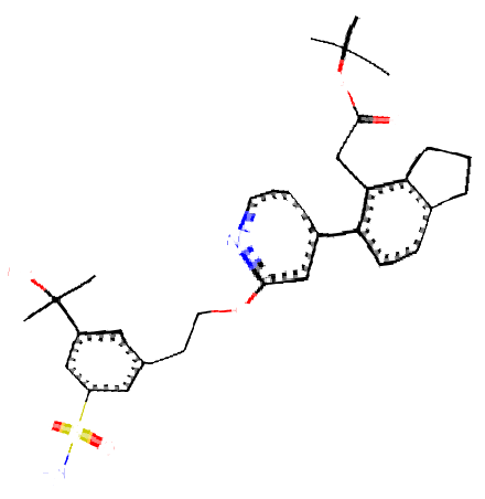 CC(C)(C)OC(=O)Cc1c(-c2ccnc(OCCc3cc(C(C)(C)O)cc(S(N)(=O)=O)c3)c2)ccc2c1CCC2